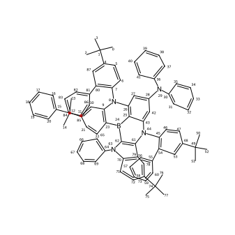 CC(C)(C)c1ccc(N2c3cc(C(C)(C)c4ccccc4)ccc3B3c4c2cc(N(c2ccccc2)c2ccccc2)cc4N(c2ccc(C(C)(C)C)cc2-c2ccccc2)c2c3n(-c3ccccc3)c3ccc(C(C)(C)C)cc23)c(-c2ccccc2)c1